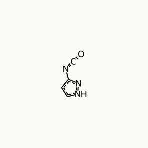 O=C=Nc1cc[nH]n1